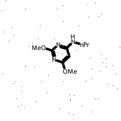 CCCNc1cc(OC)nc(OC)n1